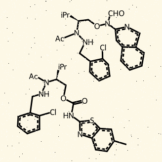 CC(=O)N(NCc1ccccc1Cl)[C@H](COC(=O)Nc1nc2ccc(C)cc2s1)C(C)C.CC(=O)N(NCc1ccccc1Cl)[C@H](CON(C=O)c1cc2ccccc2cn1)C(C)C